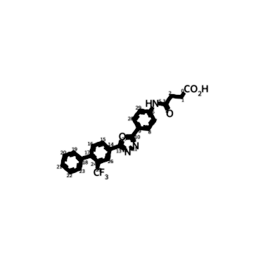 O=C(O)CCC(=O)Nc1ccc(-c2nnc(-c3ccc(-c4ccccc4)c(C(F)(F)F)c3)o2)cc1